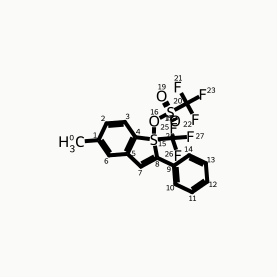 Cc1ccc2c(c1)C=C(c1ccccc1)S2(OS(=O)(=O)C(F)(F)F)C(F)(F)F